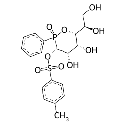 Cc1ccc(S(=O)(=O)O[C@H]2[C@@H](O)[C@@H](O)[C@@H]([C@H](O)CO)OP2(=O)c2ccccc2)cc1